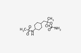 CC(C)(CC1CCC(NS(C)(=O)=O)CC1)OC(N)=O